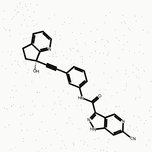 N#Cc1cc2[nH]nc(C(=O)Nc3cccc(C#C[C@@]4(O)CCc5cccnc54)c3)c2cn1